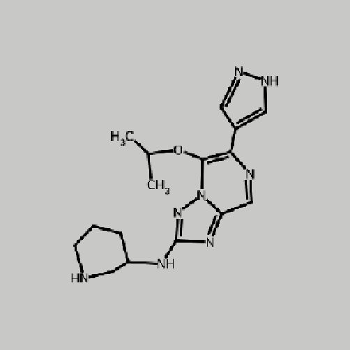 CC(C)Oc1c(-c2cn[nH]c2)ncc2nc(NC3CCCNC3)nn12